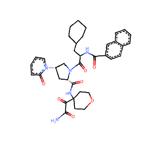 NC(=O)C(=O)C1(NC(=O)[C@@H]2C[C@H](n3ccccc3=O)CN2C(=O)C(CC2CCCCC2)NC(=O)c2ccc3ccccc3c2)CCOCC1